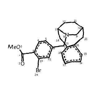 COC(=O)c1ccc(CN2CC3CCC2Cc2ccccc2C3)cc1Br